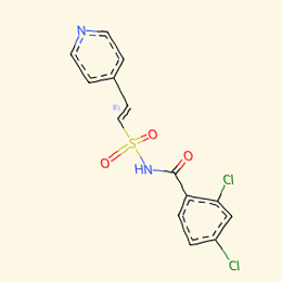 O=C(NS(=O)(=O)/C=C/c1ccncc1)c1ccc(Cl)cc1Cl